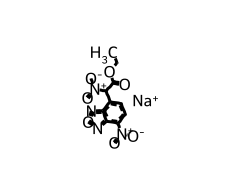 CCOC(=O)C(c1ccc([N+](=O)[O-])c2nonc12)[N+](=O)[O-].[Na+]